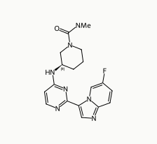 CNC(=O)N1CCC[C@@H](Nc2ccnc(-c3cnc4ccc(F)cn34)n2)C1